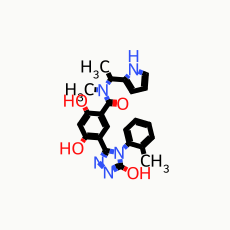 Cc1ccccc1-n1c(O)nnc1-c1cc(C(=O)N(C)C(C)c2ccc[nH]2)c(O)cc1O